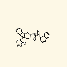 CCC(C(=O)O)n1c2c(c3ccccc31)C[C@H](NC(=O)Nc1cccc3ccccc13)CC2